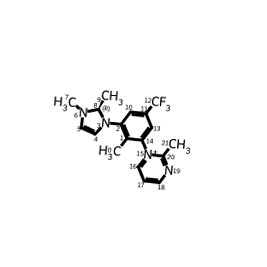 Cc1c(N2C=CN(C)[C@H]2C)cc(C(F)(F)F)cc1-[n+]1cccnc1C